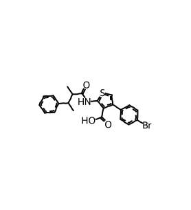 CC(C(=O)Nc1scc(-c2ccc(Br)cc2)c1C(=O)O)C(C)c1ccccc1